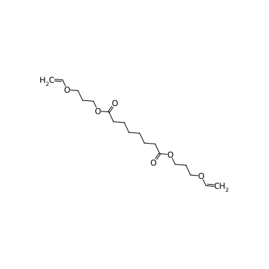 C=COCCCOC(=O)CCCCCCC(=O)OCCCOC=C